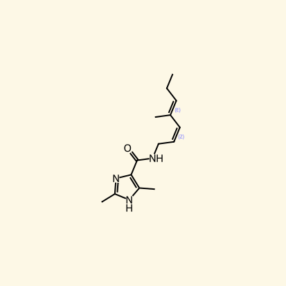 CC/C=C(C)/C=C\CNC(=O)c1nc(C)[nH]c1C